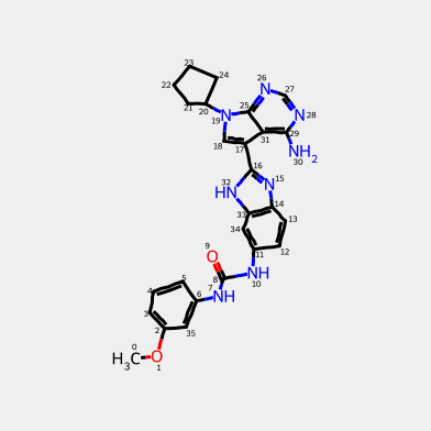 COc1cccc(NC(=O)Nc2ccc3nc(-c4cn(C5CCCC5)c5ncnc(N)c45)[nH]c3c2)c1